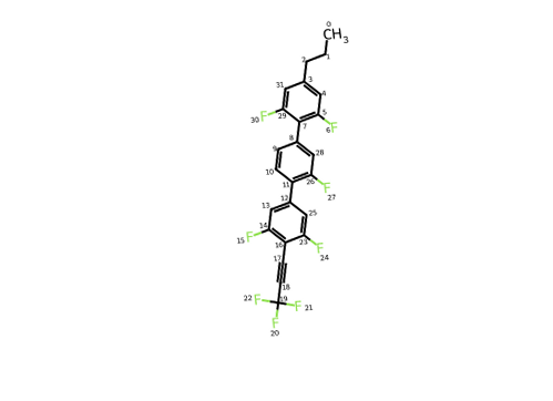 CCCc1cc(F)c(-c2ccc(-c3cc(F)c(C#CC(F)(F)F)c(F)c3)c(F)c2)c(F)c1